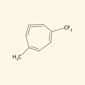 CC1=CC=C(C(F)(F)F)C=C=C1